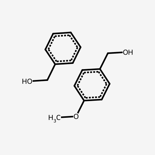 COc1ccc(CO)cc1.OCc1ccccc1